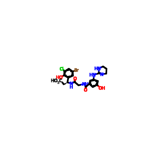 O=C(O)C[C@@H](NC(=O)CNC(=O)c1cc(O)cc(NC2=NCCCN2)c1)c1cc(Br)cc(Cl)c1O